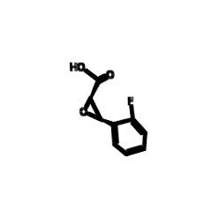 O=C(O)[C@@H]1O[C@@H]1c1ccccc1F